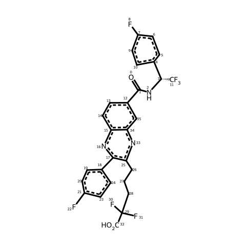 O=C(N[C@H](c1ccc(F)cc1)C(F)(F)F)c1ccc2nc(-c3ccc(F)cc3)c(CCCC(F)(F)C(=O)O)nc2c1